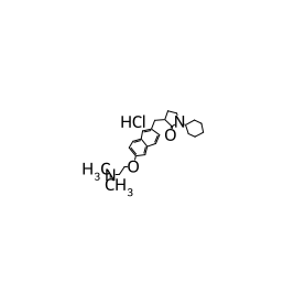 CN(C)CCOc1ccc2cc(CC3CCN(C4CCCCC4)C3=O)ccc2c1.Cl